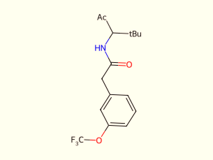 CC(=O)C(NC(=O)Cc1cccc(OC(F)(F)F)c1)C(C)(C)C